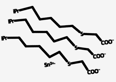 CC(C)CCCCCSCC(=O)[O-].CC(C)CCCCCSCC(=O)[O-].CC(C)CCCCCSCC(=O)[O-].[Sn+3]